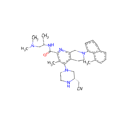 Cc1c(C(=O)NC(C)CN(C)C)nc2c(c1N1CCN[C@@H](CC#N)C1)CCN(c1cccc3cccc(C)c13)C2